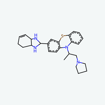 CC(CN1CCCC1)N1c2ccccc2Sc2cc(C3NC4C=CCCC4N3)ccc21